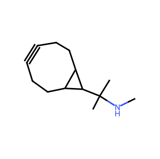 CNC(C)(C)C1C2CCC#CCCC21